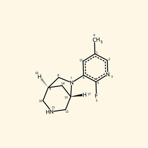 Cc1cnc(F)c(N2C[C@@H]3CNC[C@@H]2C3)c1